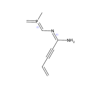 C=CC#C/C(N)=N\C=P(=C)/C